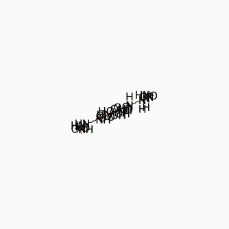 Cc1cc(=O)nc(NC(=O)NCCCCCCNC(=O)OCCNC(=O)[C@@H](O)[C@H](O)[C@H](O)[C@@H](O)C(=O)NCCOC(=O)NCCCCCCNC(=O)Nc2nc(=O)cc(C)[nH]2)[nH]1